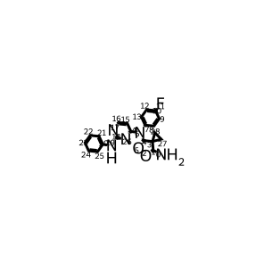 NC(=O)C1(C(=O)N(c2ccc(F)cc2)c2ccnc(Nc3ccccc3)n2)CC1